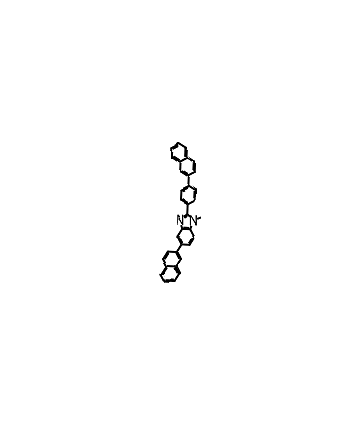 Cn1c(-c2ccc(-c3ccc4ccccc4c3)cc2)nc2cc(-c3ccc4ccccc4c3)ccc21